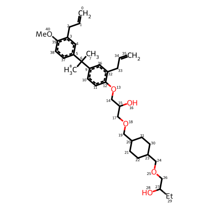 C=CCc1cc(C(C)(C)c2ccc(OCC(O)COCC3CCC(COCC(O)CC)CC3)c(CC=C)c2)ccc1OC